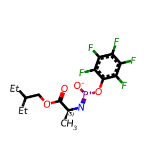 CCC(CC)COC(=O)[C@H](C)N=[P+]([O-])Oc1c(F)c(F)c(F)c(F)c1F